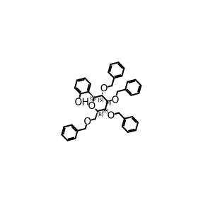 Oc1ccccc1[C@@H]1O[C@H](COCc2ccccc2)[C@@H](OCc2ccccc2)[C@H](OCc2ccccc2)[C@H]1OCc1ccccc1